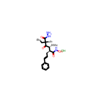 CCCC(CC(C)CC)(C(=O)NN)C(=O)[C@H](NC)[C@H](C/C=C/c1ccccc1)C(=O)NO.Cl